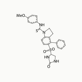 COc1ccc(NC(=S)N2CCc3c2ccc(S(=O)(=O)C2CNC(=O)N2)c3-c2ccccc2)cc1